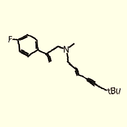 C=C(CN(C)CC=CC#CC(C)(C)C)c1ccc(F)cc1